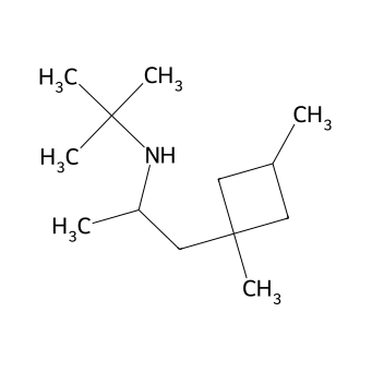 CC1CC(C)(CC(C)NC(C)(C)C)C1